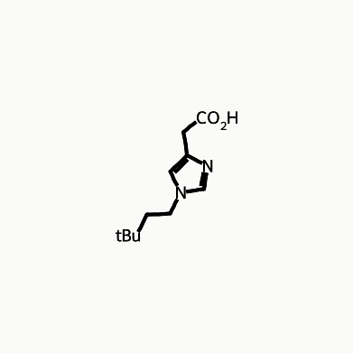 CC(C)(C)CCn1cnc(CC(=O)O)c1